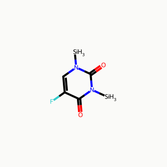 O=c1c(F)cn([SiH3])c(=O)n1[SiH3]